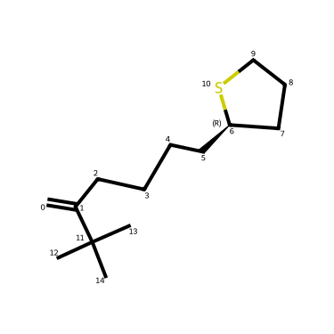 C=C(CCCC[C@@H]1CCCS1)C(C)(C)C